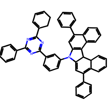 C1=CCCC(c2nc(-c3ccccc3)nc(-c3cccc(N4C5=CC(c6ccccc6)=C6C=CC=CC6C5c5c4cc(-c4ccccc4)c4ccccc54)c3)n2)=C1